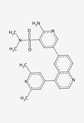 Cc1cc(-c2ccnc3ccc(-c4cnc(N)c(S(=O)(=O)N(C)C)c4)cc23)cc(C)n1